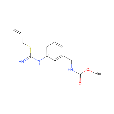 C=CCSC(=N)Nc1cccc(CNC(=O)OC(C)(C)C)c1